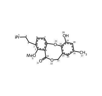 COc1c(CCC(C)C)ccc2c1C(=O)OCc1cc(C)cc(O)c1O2